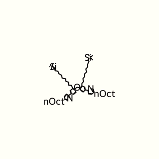 CCCCCCCCc1ccc(-c2ccc(Oc3ccc(-c4ccc(CCCCCCCC)cn4)cc3CCCCCCCCCCC[Si](C)(C)C)c(CCCCCCCCCCC[Si](C)(C)C)c2)nc1